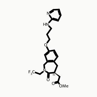 COC(=O)C[C@@H]1Cc2ccc(OCCCNc3ccccn3)cc2CN(CC(F)(F)F)C1=O